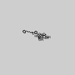 CC(C)CC(NC(=O)C(CO)NC(=O)c1cccc(OCCCCCc2ccccc2)c1)C(=O)C1(CO)CO1